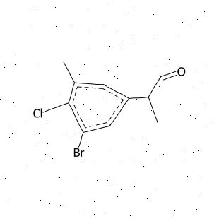 Cc1cc(C(C)C=O)cc(Br)c1Cl